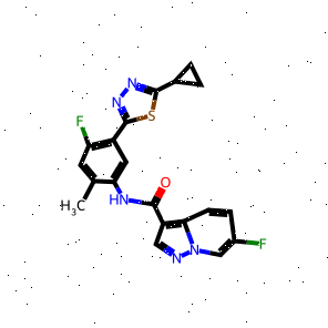 Cc1cc(F)c(-c2nnc(C3CC3)s2)cc1NC(=O)c1cnn2cc(F)ccc12